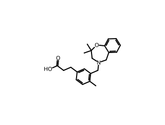 Cc1ccc(CCC(=O)O)cc1CN1Cc2ccccc2OC(C)(C)C1